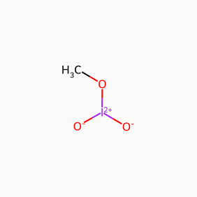 CO[I+2]([O-])[O-]